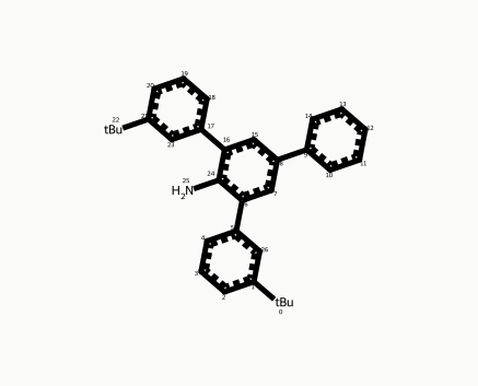 CC(C)(C)c1cccc(-c2cc(-c3ccccc3)cc(-c3cccc(C(C)(C)C)c3)c2N)c1